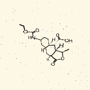 CCOC(=O)NC1CC[C@@H]2[C@@H](C1)C[C@H]1C(=O)O[C@H](C)[C@H]1[C@H]2C(=O)O